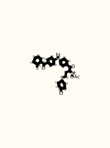 CCN(c1ccc(C(=O)/C(CCSc2ccc(Cl)cc2)=N/OC(C)=O)cc1)c1ccc(C(=O)c2ccccc2C)cc1